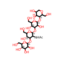 CC(=O)NC1C(O[C@@H]2OC(CO)[C@H](O)C(O)C2O)[C@H](O)C(CO)O[C@H]1OC1C(O)[C@H](O[C@@H]2C(CO)OCC(O)C2O)OC(CO)[C@@H]1O